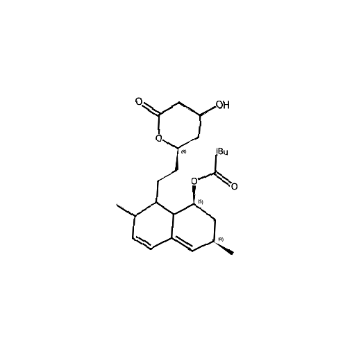 CCC(C)C(=O)O[C@H]1C[C@@H](C)C=C2C=CC(C)C(CC[C@@H]3CC(O)CC(=O)O3)C21